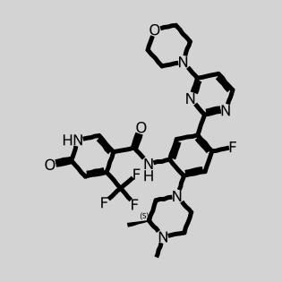 C[C@H]1CN(c2cc(F)c(-c3nccc(N4CCOCC4)n3)cc2NC(=O)c2c[nH]c(=O)cc2C(F)(F)F)CCN1C